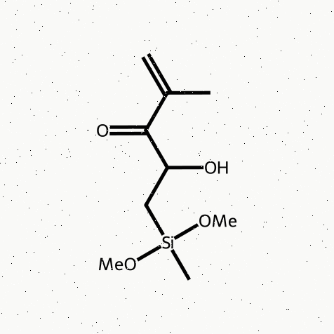 C=C(C)C(=O)C(O)C[Si](C)(OC)OC